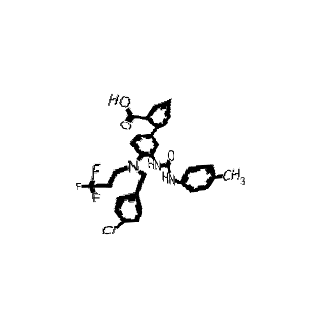 Cc1ccc(NC(=O)Nc2cc(-c3ccccc3C(=O)O)ccc2N(CCC(F)(F)F)Cc2ccc(Cl)cc2)cc1